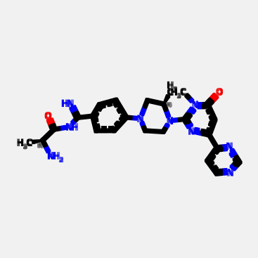 C[C@H](N)C(=O)NC(=N)c1ccc(N2CCN(c3nc(-c4ccncn4)cc(=O)n3C)[C@H](C)C2)cc1